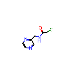 O=C(CCl)NCc1cnccn1